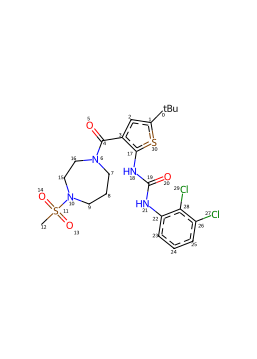 CC(C)(C)c1cc(C(=O)N2CCCN(S(C)(=O)=O)CC2)c(NC(=O)Nc2cccc(Cl)c2Cl)s1